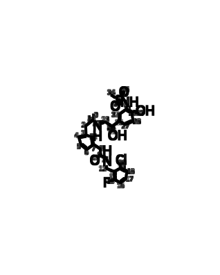 C[C@H](Cc1cccc(CC(=O)NCc2c(F)cccc2Cl)c1)NC[C@@H](O)c1ccc(O)c(NS(C)(=O)=O)c1